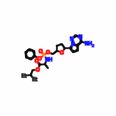 CCC(CC)COC(=O)C(C)NP(=O)(OCC1CCC(c2ccc3c(N)ncnn23)O1)Oc1ccccc1